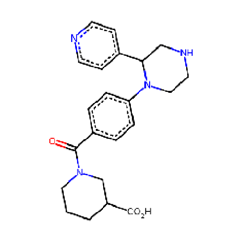 O=C(O)C1CCCN(C(=O)c2ccc(N3CCNCC3c3ccncc3)cc2)C1